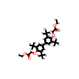 CCOC(=O)COc1c(C(C)(C)C)cc(-c2cc(C(C)(C)C)c(OCC(=O)OCC)c(C(C)(C)C)c2)cc1C(C)(C)C